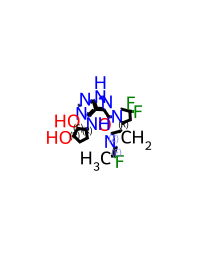 C=C(/C=N\C=C(/C)F)[C@H]1CC(F)(F)CN1C(=O)c1n[nH]c2ncnc(N[C@@H]3CC[C@@H](O)[C@H]3O)c12